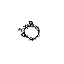 CC(C)C[C@H]1NC(=O)c2ccccc2OCc2cn(nn2)CCCCCCCCn2cc(nn2)[C@H](Cc2ccccc2)N(C)C(=O)[C@H]2CCCN2C1=O